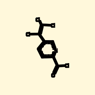 O=C(Cl)c1ccc(C(Cl)=C(Cl)Cl)cn1